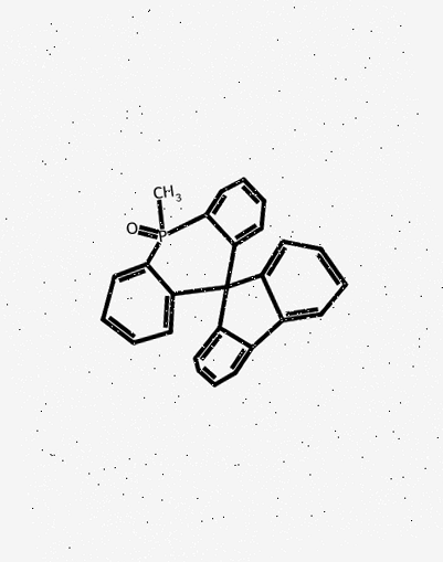 CP1(=O)c2ccccc2C2(c3ccccc3-c3ccccc32)c2ccccc21